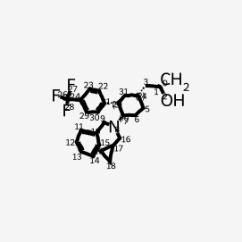 C=C(O)C[C@@H]1CC[C@@H](N(Cc2ccccc2)CC2CC2)[C@H](c2ccc(C(F)(F)F)cc2)C1